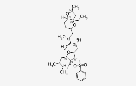 [3H][C@H](CC1O[C@H](CC(C)CC)[C@H](C)[C@H]1CS(=O)(=O)c1ccccc1)C(=C)[C@H](C)CC1CC[C@@H]2O[C@@H](C)C[C@]2(CC)O1